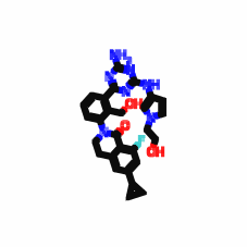 Nc1nc(Nc2ccn(CCO)c2)nc(-c2cccc(N3CCc4cc(C5CC5)cc(F)c4C3=O)c2CO)n1